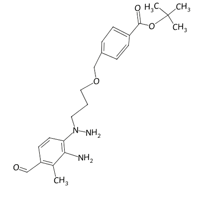 Cc1c(C=O)ccc(N(N)CCCOCc2ccc(C(=O)OC(C)(C)C)cc2)c1N